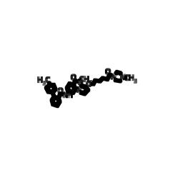 Cc1ccc(-c2ccccc2C(=O)Nc2ccc(C(=O)N(C)c3ncccc3OCCCCCC(=O)N3CCN(C)CC3)cc2)cc1